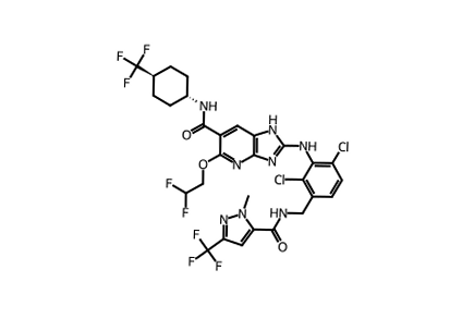 Cn1nc(C(F)(F)F)cc1C(=O)NCc1ccc(Cl)c(Nc2nc3nc(OCC(F)F)c(C(=O)N[C@H]4CC[C@H](C(F)(F)F)CC4)cc3[nH]2)c1Cl